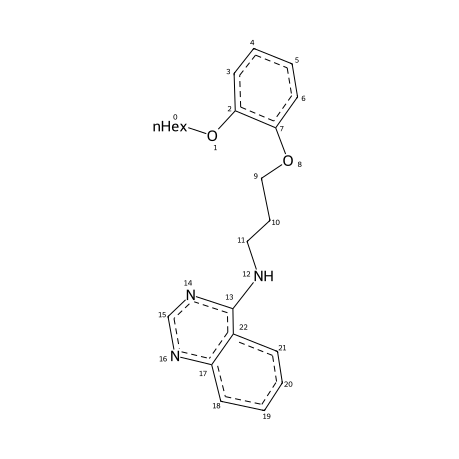 CCCCCCOc1ccccc1OCCCNc1ncnc2ccccc12